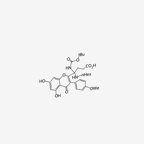 CCCCCCNC(CCC(=O)O)(NC(=O)OC(C)(C)C)c1oc2cc(O)cc(O)c2c(=O)c1-c1ccc(OC)cc1